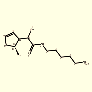 CCC(C(=O)NCCCCCN)C1C=CC[C@@H]1C